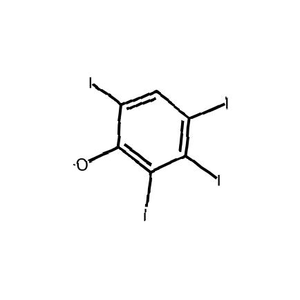 [O]c1c(I)cc(I)c(I)c1I